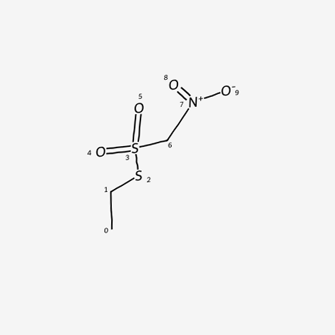 CCSS(=O)(=O)C[N+](=O)[O-]